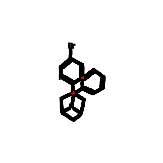 Brc1ccc(N2CC3CC(C2)N3Cc2ccccc2)nc1